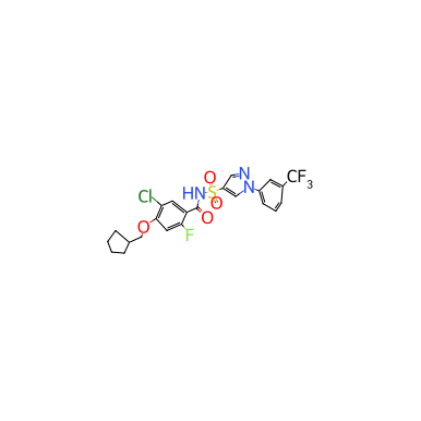 O=C(NS(=O)(=O)c1cnn(-c2cccc(C(F)(F)F)c2)c1)c1cc(Cl)c(OCC2CCCC2)cc1F